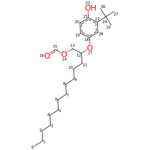 CCCCCCCCCCCCC(CO[C]=O)Oc1ccc(O)c(C(C)(C)C)c1